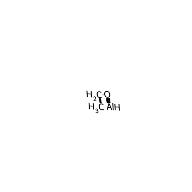 [CH2]C.[O]=[AlH]